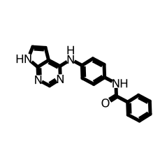 O=C(Nc1ccc(Nc2ncnc3[nH]ccc23)cc1)c1ccccc1